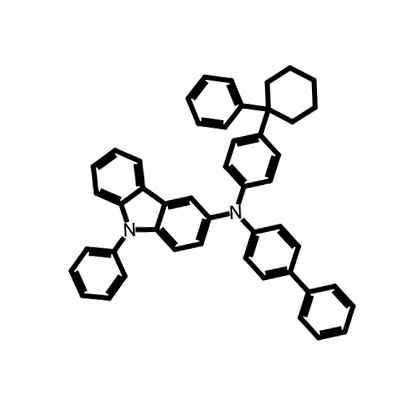 c1ccc(-c2ccc(N(c3ccc(C4(c5ccccc5)CCCCC4)cc3)c3ccc4c(c3)c3ccccc3n4-c3ccccc3)cc2)cc1